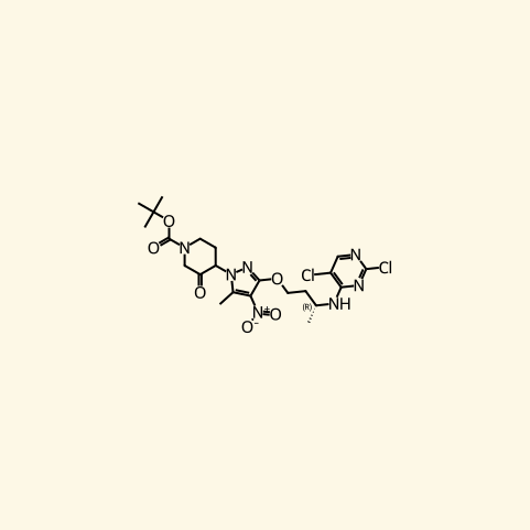 Cc1c([N+](=O)[O-])c(OCC[C@@H](C)Nc2nc(Cl)ncc2Cl)nn1C1CCN(C(=O)OC(C)(C)C)CC1=O